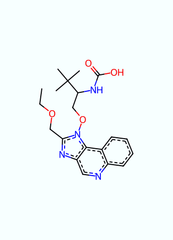 CCOCc1nc2cnc3ccccc3c2n1OCC(NC(=O)O)C(C)(C)C